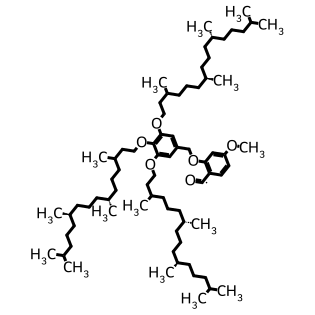 COc1ccc([C]=O)c(OCc2cc(OCCC(C)CCC[C@H](C)CCC[C@H](C)CCCC(C)C)c(OCCC(C)CCC[C@H](C)CCC[C@H](C)CCCC(C)C)c(OCCC(C)CCC[C@H](C)CCC[C@H](C)CCCC(C)C)c2)c1